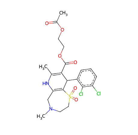 CC(=O)OCCOC(=O)C1=C(C)NC2=C(C1c1cccc(Cl)c1Cl)S(=O)(=O)CCN(C)C2